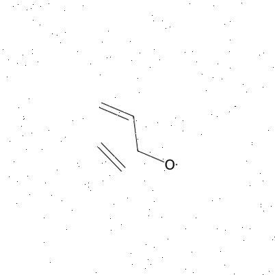 C=C.C=CC[O]